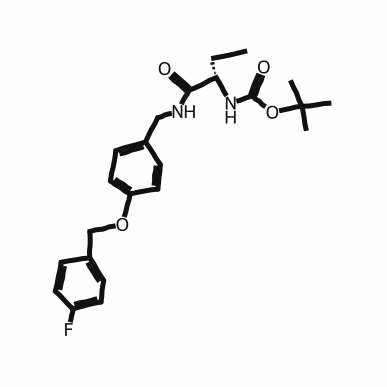 CC[C@H](NC(=O)OC(C)(C)C)C(=O)NCc1ccc(OCc2ccc(F)cc2)cc1